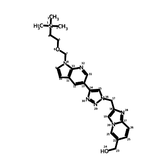 C[Si](C)(C)CCOCn1ccc2cc(-c3cn(Cc4cn5cc(CO)ccc5n4)nn3)cnc21